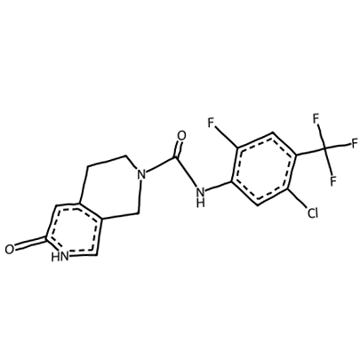 O=C(Nc1cc(Cl)c(C(F)(F)F)cc1F)N1CCc2cc(=O)[nH]cc2C1